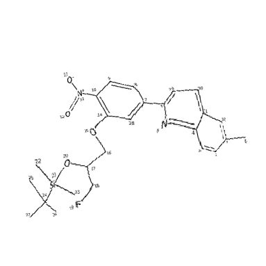 Cc1ccc2nc(-c3ccc([N+](=O)[O-])c(OCC(CF)O[Si](C)(C)C(C)(C)C)c3)ccc2c1